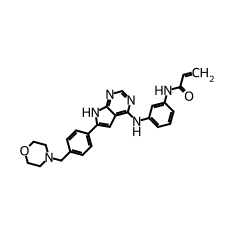 C=CC(=O)Nc1cccc(Nc2ncnc3[nH]c(-c4ccc(CN5CCOCC5)cc4)cc23)c1